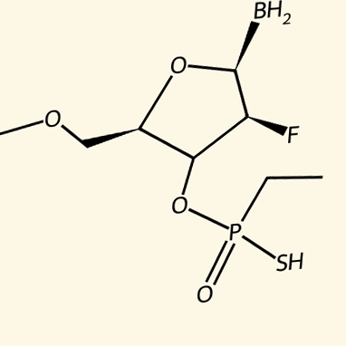 B[C@@H]1O[C@H](COC)C(OP(=O)(S)CC)[C@@H]1F